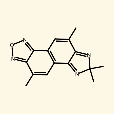 Cc1cc2c(cc(C)c3nonc32)c2c1=NC(C)(C)N=2